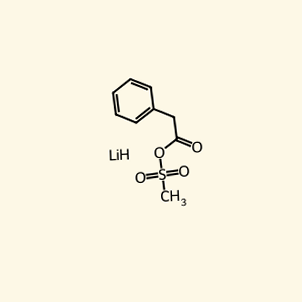 CS(=O)(=O)OC(=O)Cc1ccccc1.[LiH]